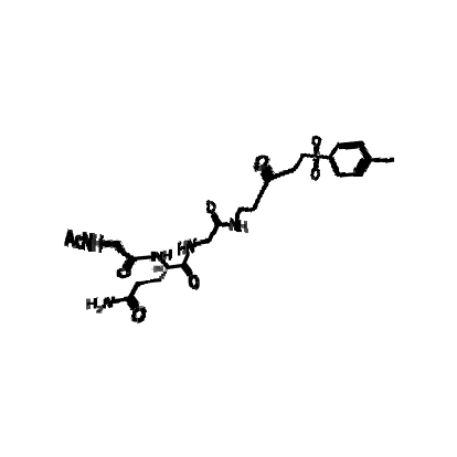 CC(=O)NCC(=O)N[C@@H](CCC(N)=O)C(=O)NCC(=O)NCCC(=O)CCS(=O)(=O)c1ccc(C)cc1